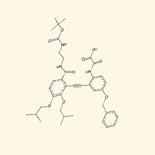 CC(C)COc1ccc(C(=O)NCCNC(=O)OC(C)(C)C)c(C#Cc2cc(OCc3ccccc3)ccc2NC(=O)C(=O)O)c1OCC(C)C